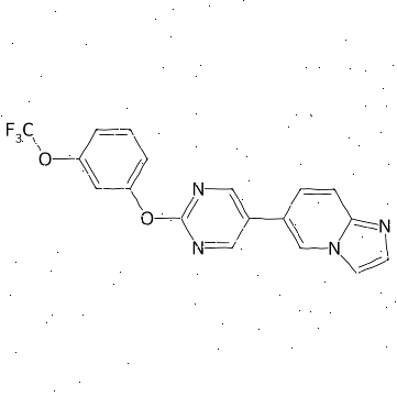 FC(F)(F)Oc1cccc(Oc2ncc(-c3ccc4nccn4c3)cn2)c1